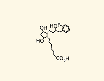 O=C(O)CCCCCC[C@@H]1[C@@H](CCC(O)Cc2ccccc2F)[C@H](O)C[C@@H]1O